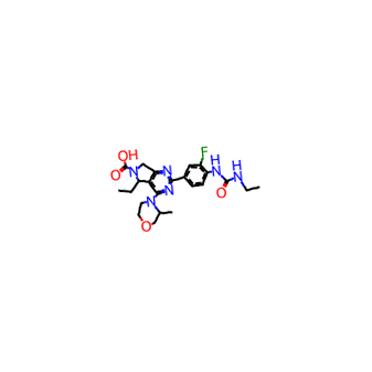 CCNC(=O)Nc1ccc(-c2nc3c(c(N4CCOCC4C)n2)C(CC)N(C(=O)O)C3)cc1F